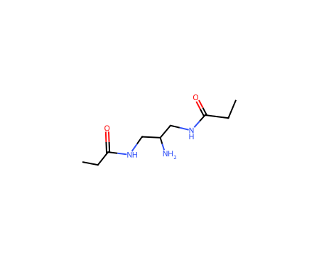 CCC(=O)NCC(N)CNC(=O)CC